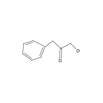 [O]CC(=O)Cc1ccccc1